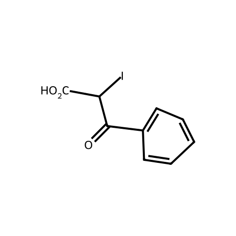 O=C(O)C(I)C(=O)c1ccccc1